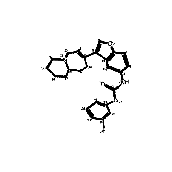 O=C(Nc1ccc2occ(C3=CCN4CCCCC4CC3)c2c1)Oc1cccc(F)c1